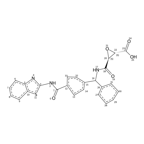 O=C(Nc1nc2ccccc2s1)c1ccc(C(NC(=O)[C@H]2O[C@@H]2C(=O)O)c2ccccc2)cc1